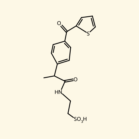 CC(C(=O)NCCS(=O)(=O)O)c1ccc(C(=O)c2cccs2)cc1